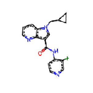 O=C(Nc1ccncc1F)c1cn(CC2CC2)c2cccnc12